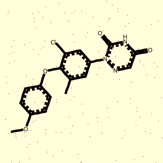 COc1ccc(Oc2c(C)cc(-n3ncc(=O)[nH]c3=O)cc2Cl)cc1